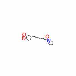 O=C(/C=C/CC/C=C/C1CCC2OCOC2C1)N1CCCCC1